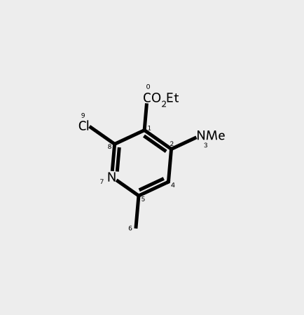 CCOC(=O)c1c(NC)cc(C)nc1Cl